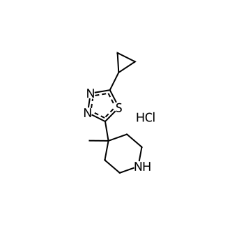 CC1(c2nnc(C3CC3)s2)CCNCC1.Cl